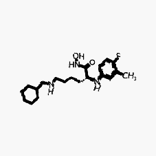 Cc1cc(N[C@H](CCCCNCC2CCCCC2)C(=O)NO)ccc1F